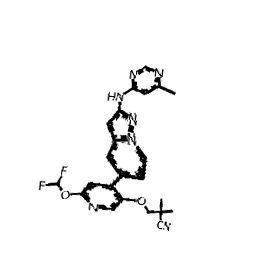 Cc1cc(Nc2cc3cc(-c4cc(OC(F)F)ncc4OCC(C)(C)C#N)ccn3n2)ncn1